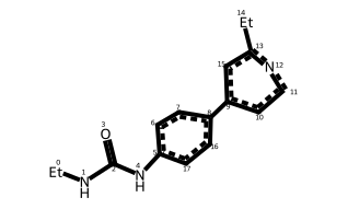 CCNC(=O)Nc1ccc(-c2ccnc(CC)c2)cc1